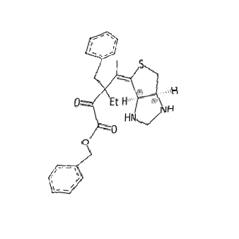 CCC(Cc1ccccc1)(C(=O)C(=O)OCc1ccccc1)C(C)=C1SC[C@H]2NCN[C@@H]12